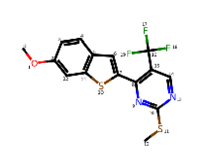 COc1ccc2cc(-c3nc(SC)ncc3C(F)(F)F)sc2c1